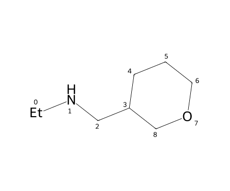 CCNCC1CCCOC1